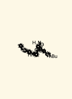 CCCCN1CCN(c2ccc(-c3cc4c(C(N)=O)cccc4n3NC(=O)c3cccc4[nH]c(-c5ccc(N6CCN(Cc7ccccc7)CC6)cc5)cc34)cc2)CC1